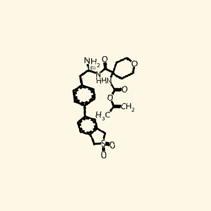 C=C(C)OC(=O)NC1(C(=O)N[C@H](N)Cc2ccc(-c3ccc4c(c3)CS(=O)(=O)C4)cc2)CCOCC1